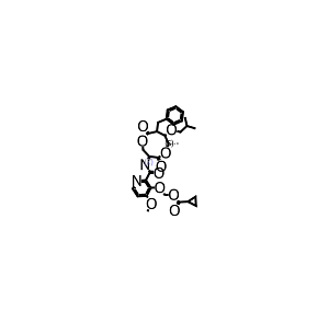 COc1ccnc(C(=O)/N=C2/COC(=O)C(Cc3ccccc3)C(OCC(C)C)[C@H](C)OC2=O)c1OCOC(=O)C1CC1